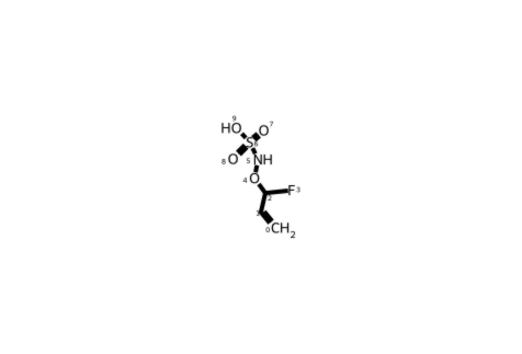 C=CC(F)ONS(=O)(=O)O